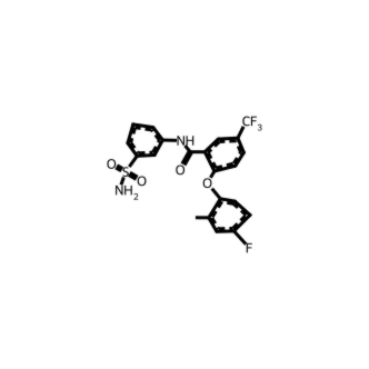 Cc1cc(F)ccc1Oc1ccc(C(F)(F)F)cc1C(=O)Nc1cccc(S(N)(=O)=O)c1